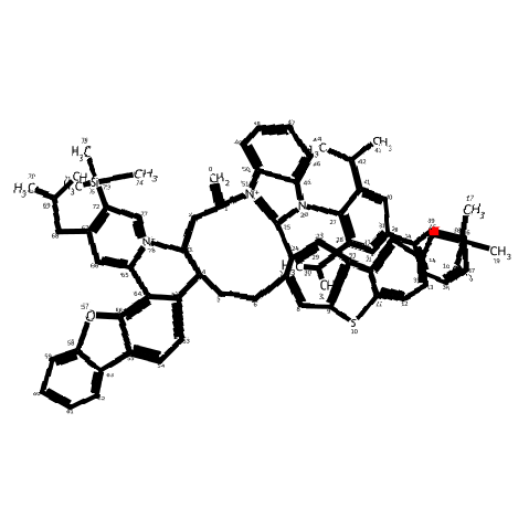 C=C1CC2C(CCc3cc4sc5ccc(CC(C)(C)C)cc5c4cc3-c3n(-c4c(C(C)C)cc(-c5ccccc5)cc4C(C)C)c4ccccc4[n+]31)c1ccc3c(oc4ccccc43)c1-c1cc(CC(C)C)c([Si](C)(C)C)c[n+]12